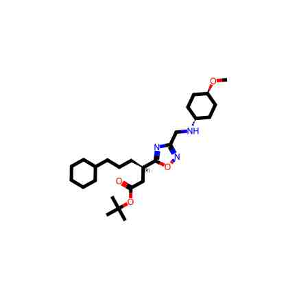 CO[C@H]1CC[C@H](NCc2noc([C@H](CCCC3CCCCC3)CC(=O)OC(C)(C)C)n2)CC1